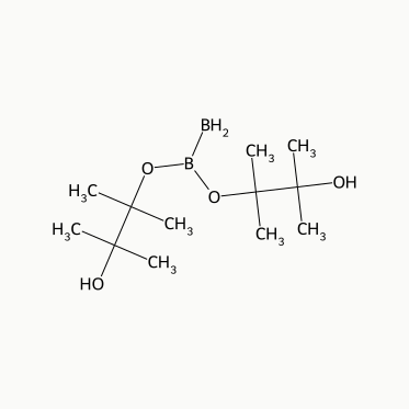 BB(OC(C)(C)C(C)(C)O)OC(C)(C)C(C)(C)O